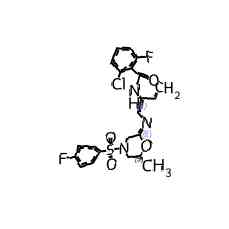 C=C/C(=C\N=C1/CN(S(=O)(=O)c2ccc(F)cc2)C[C@H](C)O1)NC(=O)c1c(F)cccc1Cl